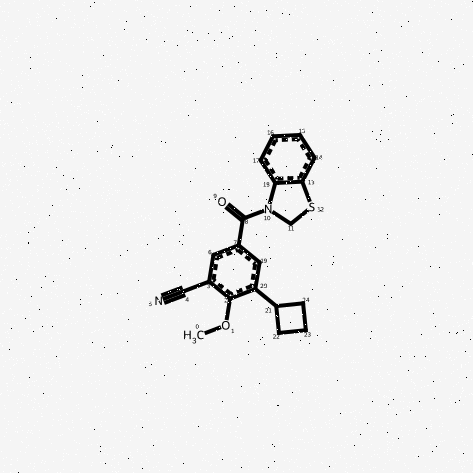 COc1c(C#N)cc(C(=O)N2CSc3ccccc32)cc1C1CCC1